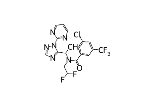 CC(c1ncnn1-c1ncccn1)N(CC(F)F)C(=O)c1cc(Cl)cc(C(F)(F)F)c1